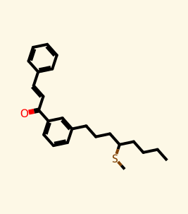 CCCCC(CCCc1cccc(C(=O)C=Cc2ccccc2)c1)SC